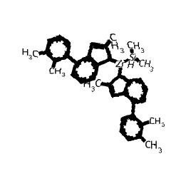 CC1=Cc2c(-c3cccc(C)c3C)cccc2[CH]1[Zr]([CH]1C(C)=Cc2c(-c3cccc(C)c3C)cccc21)[SiH](C)C